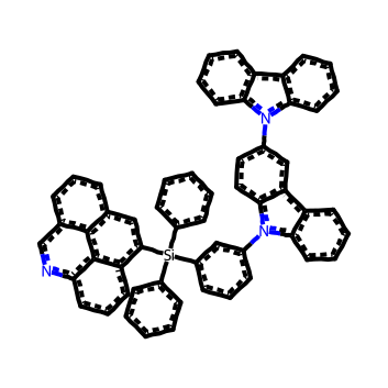 c1ccc([Si](c2ccccc2)(c2cccc(-n3c4ccccc4c4cc(-n5c6ccccc6c6ccccc65)ccc43)c2)c2cc3cccc4cnc5cccc2c5c43)cc1